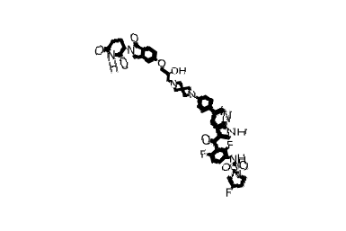 O=C1CC[C@H](N2Cc3cc(OC[C@H](O)CN4CC5(C4)CN(c4ccc(-c6cnc7[nH]cc(C(=O)c8c(F)ccc(NS(=O)(=O)N9CC[C@@H](F)C9)c8F)c7c6)cc4)C5)ccc3C2=O)C(=O)N1